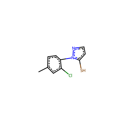 Cc1ccc(-n2nccc2S)c(Cl)c1